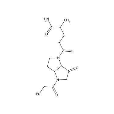 CCC(C)CC(=O)N1CC(=O)C2C1CCN2C(=O)[CH]CC(C)C(N)=O